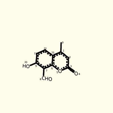 Cc1cc(=O)oc2c(C=O)c(O)ccc12